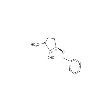 O=C[C@H]1[C@H](OCc2ccccc2)CCN1C(=O)O